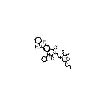 CCOC(=O)CN(CCn1c(=O)c2cc(F)c(NC3CCCCC3)cc2n(C2CCCC2)c1=O)C(=S)SC